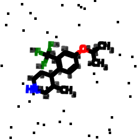 CC(C)Oc1ccc(C2CCNCC2C)c(C(F)(F)F)c1